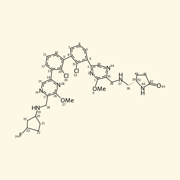 COc1nc(-c2cccc(-c3cccc(-c4cnc(CNC5CCC(F)C5)c(OC)n4)c3Cl)c2Cl)cnc1CNC[C@@H]1CCC(=O)N1